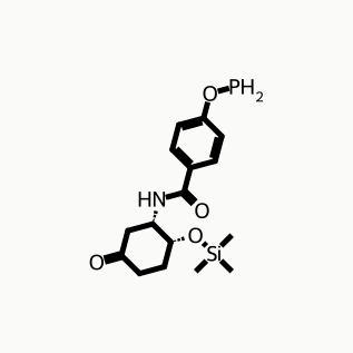 C[Si](C)(C)O[C@@H]1CCC(=O)C[C@@H]1NC(=O)c1ccc(OP)cc1